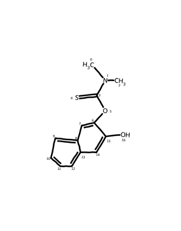 CN(C)C(=S)Oc1cc2ccccc2cc1O